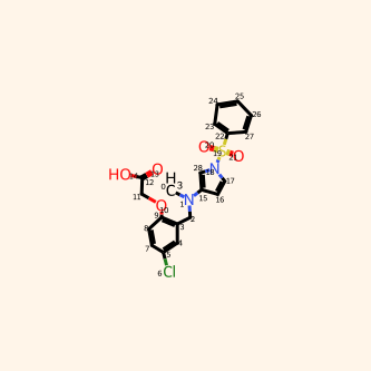 CN(Cc1cc(Cl)ccc1OCC(=O)O)c1ccn(S(=O)(=O)c2ccccc2)c1